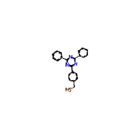 SCc1ccc(-c2nc(-c3ccccc3)nc(-c3ccccc3)n2)cc1